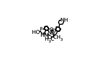 CC1(C)OC(N[C@@H](CCO)c2ccccc2F)=NS(=O)(=O)[C@H]1Cc1ccc(C2CCNCC2)cc1